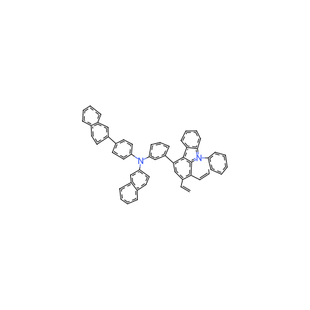 C=Cc1cc(-c2cccc(N(c3ccc(-c4ccc5ccccc5c4)cc3)c3ccc4ccccc4c3)c2)c2c3ccccc3n(-c3ccccc3)c2c1/C=C\C